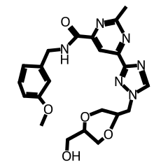 COc1cccc(CNC(=O)c2cc(-c3ncn(CC4COC(CO)CO4)n3)nc(C)n2)c1